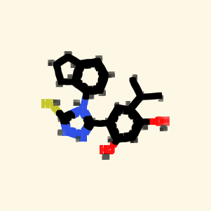 CC(C)c1cc(-c2nnc(S)n2-c2cccc3c2CCC3)c(O)cc1O